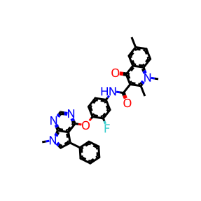 Cc1ccc2c(c1)c(=O)c(C(=O)Nc1ccc(Oc3ncnc4c3c(-c3ccccc3)cn4C)c(F)c1)c(C)n2C